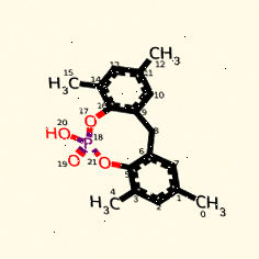 Cc1cc(C)c2c(c1)Cc1cc(C)cc(C)c1OP(=O)(O)O2